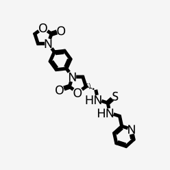 O=C1OCCN1c1ccc(N2C[C@H](CNC(=S)NCc3ccccn3)OC2=O)cc1